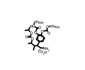 CCCCCOC(=O)Oc1ccc(C(C(C)C(C)OC(=O)OC(C)C(C)C)[C@H](N)C(=O)O)cc1OC(=O)OCCCCC